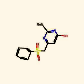 CSc1nc(O)cc(CS(=O)(=O)c2ccccc2)n1